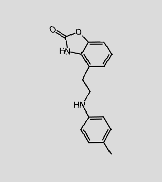 Cc1ccc(NCCc2cccc3oc(=O)[nH]c23)cc1